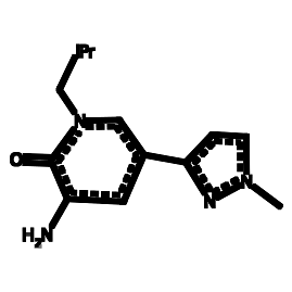 CC(C)Cn1cc(-c2ccn(C)n2)cc(N)c1=O